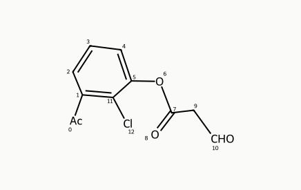 CC(=O)c1cccc(OC(=O)CC=O)c1Cl